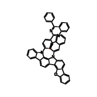 c1ccc(-c2nc(-c3ccc(-n4c5ccccc5c5ccc6c7c8oc9ccccc9c8ccc7n(-c7ccc8ccccc8c7)c6c54)cc3)nc3ccccc23)cc1